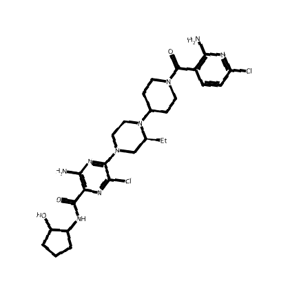 CC[C@H]1CN(c2nc(N)c(C(=O)NC3CCCC3O)nc2Cl)CCN1C1CCN(C(=O)c2ccc(Cl)nc2N)CC1